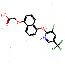 O=C(O)COc1cccc2c(Oc3ncc(C(F)(F)F)cc3F)cccc12